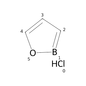 Cl.b1ccco1